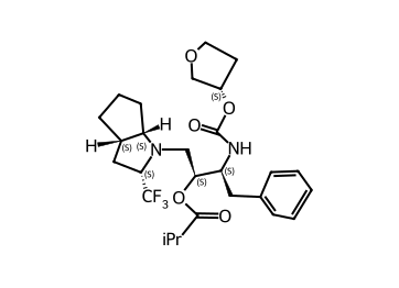 CC(C)C(=O)O[C@@H](CN1[C@H](C(F)(F)F)C[C@@H]2CCC[C@@H]21)[C@H](Cc1ccccc1)NC(=O)O[C@H]1CCOC1